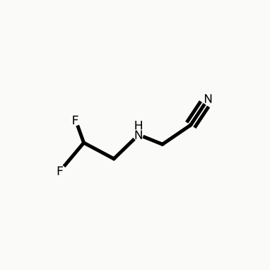 N#CCNCC(F)F